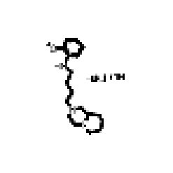 COc1ccccc1NCCCCN1CCN2CCCCC2C1.Cl.Cl.Cl